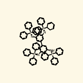 C1=CCC(P(=Nc2cc(N=P(c3ccccc3)(c3ccccc3)c3ccccc3)cc(-c3cc(N=P(c4ccccc4)(c4ccccc4)c4ccccc4)cc(N[PH](c4ccccc4)(c4ccccc4)c4ccccc4)c3)c2)(c2ccccc2)c2ccccc2)C=C1